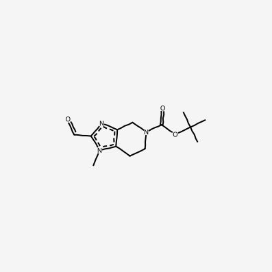 Cn1c(C=O)nc2c1CCN(C(=O)OC(C)(C)C)C2